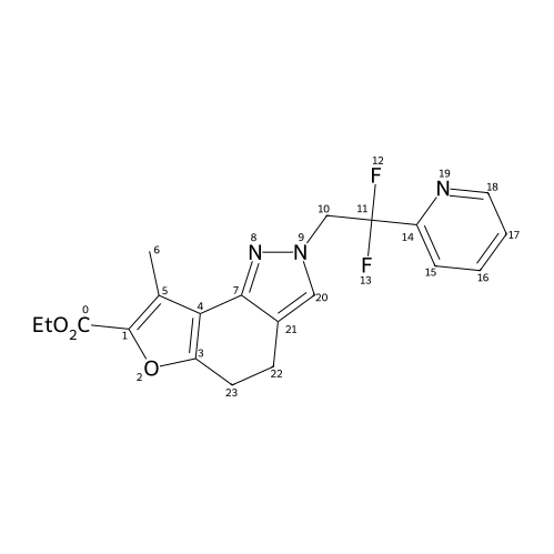 CCOC(=O)c1oc2c(c1C)-c1nn(CC(F)(F)c3ccccn3)cc1CC2